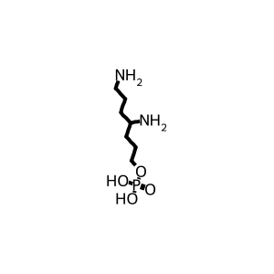 NCCCC(N)CCCOP(=O)(O)O